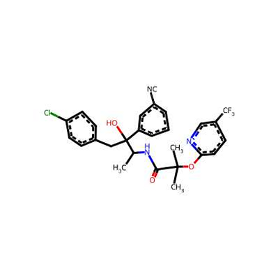 [C-]#[N+]c1cccc(C(O)(Cc2ccc(Cl)cc2)C(C)NC(=O)C(C)(C)Oc2ccc(C(F)(F)F)cn2)c1